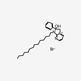 CCCCCCCCCCCCCCN1c2nccc[n+]2CC1(O)c1ccccc1.[Br-]